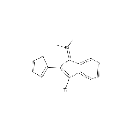 C[Si](C)=C1C(C2=CC=CC2)=[C]([Ti])c2ccccc21